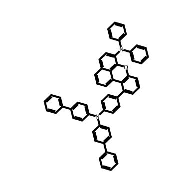 c1ccc(-c2ccc(N(c3ccc(-c4ccccc4)cc3)c3ccc(-c4cccc5c4-c4cccc6ccc(N(c7ccccc7)c7ccccc7)c(c46)O5)cc3)cc2)cc1